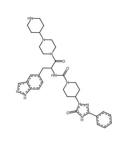 O=C(NC(Cc1ccc2[nH]ncc2c1)C(=O)N1CCN(C2CCNCC2)CC1)N1CCC(n2nc(-c3ccccc3)[nH]c2=O)CC1